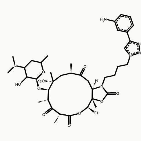 CC[C@H]1OC(=O)[C@H](C)C(=O)[C@H](C)[C@@H](O[C@@H]2OC(C)CC(N(C)C)C2O)[C@](C)(OC)C[C@@H](C)C(=O)C[C@H]2N(CCCCn3cc(-c4cccc(N)c4)nn3)C(=O)O[C@]12C